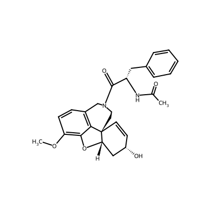 COc1ccc2c3c1O[C@H]1C[C@@H](O)C=C[C@@]31CCN(C(=O)[C@H](Cc1ccccc1)NC(C)=O)C2